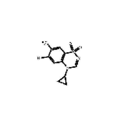 O=S1(=O)N=CN(C2CC2)c2cc(Br)c(C(F)(F)F)cc21